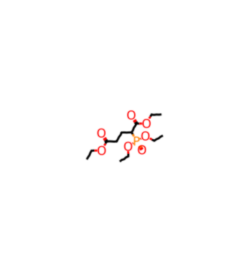 CCOC(=O)CCC(C(=O)OCC)P(=O)(OCC)OCC